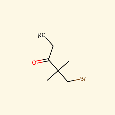 CC(C)(CBr)C(=O)CC#N